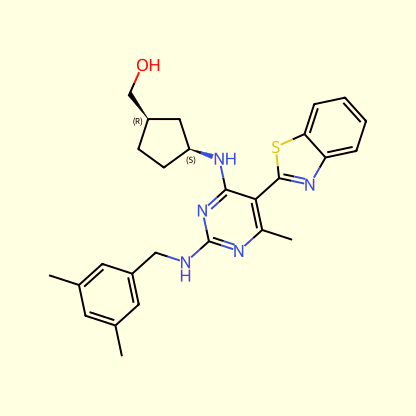 Cc1cc(C)cc(CNc2nc(C)c(-c3nc4ccccc4s3)c(N[C@H]3CC[C@@H](CO)C3)n2)c1